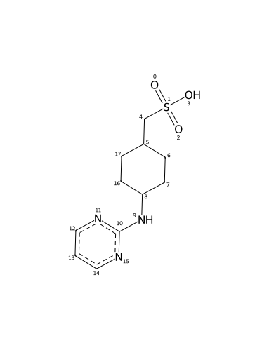 O=S(=O)(O)CC1CCC(Nc2ncccn2)CC1